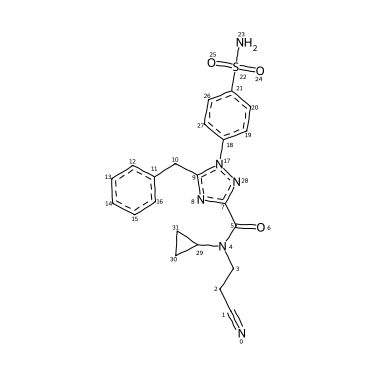 N#CCCN(C(=O)c1nc(Cc2ccccc2)n(-c2ccc(S(N)(=O)=O)cc2)n1)C1CC1